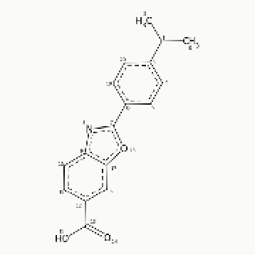 CC(C)c1ccc(-c2nc3ccc(C(=O)O)cc3o2)cc1